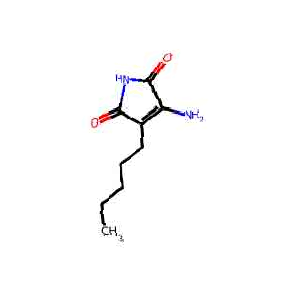 CCCCCC1=C(N)C(=O)NC1=O